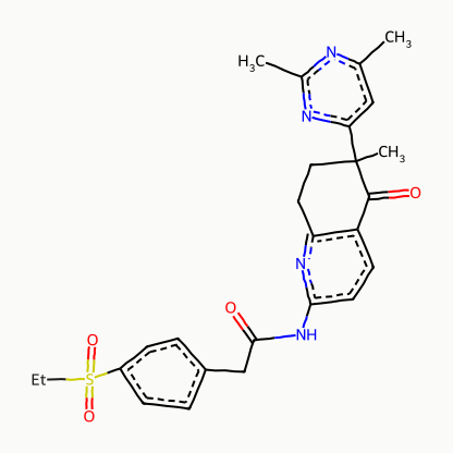 CCS(=O)(=O)c1ccc(CC(=O)Nc2ccc3c(n2)CCC(C)(c2cc(C)nc(C)n2)C3=O)cc1